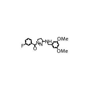 COc1cc(CNC2=NN(C(=O)c3cccc(F)c3)CC2)cc(OC)c1